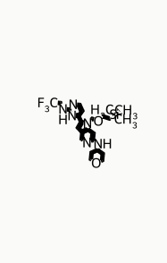 C[Si](C)(C)CCOCn1c(-c2ccnc(NCC(F)(F)F)n2)cc2cnc(NC3CCOCC3)cc21